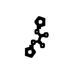 O=C(On1cccc1)C(=O)On1cccc1